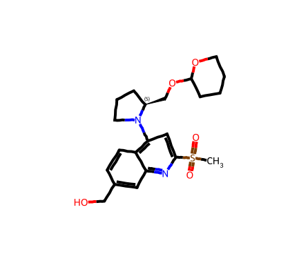 CS(=O)(=O)c1cc(N2CCC[C@H]2COC2CCCCO2)c2ccc(CO)cc2n1